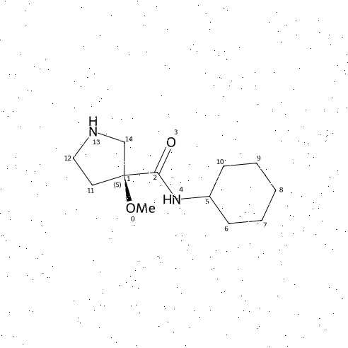 CO[C@@]1(C(=O)NC2CCCCC2)CCNC1